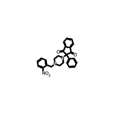 O=C1c2ccccc2C(=O)C1(c1ccccc1)N1CCN(Cc2ccccc2[N+](=O)[O-])CC1